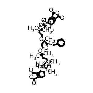 CC(C)(CC[Si](C)(C)O[Si](C)(C)C1CC2CC1C1C(=O)OC(=O)C21)OCCC(C)(OCC[Si](C)(C)O[Si](C)(C)C1CC2CC1C1C(=O)OC(=O)C21)C(=O)OCc1ccccc1